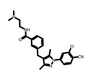 Cc1nn(-c2ccc(C#N)c(Cl)c2)c(C)c1Cc1cccc(C(=O)NCCN(C)C)c1